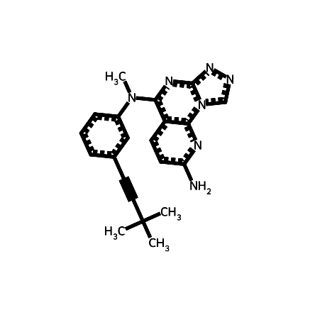 CN(c1cccc(C#CC(C)(C)C)c1)c1nc2nncn2c2nc(N)ccc12